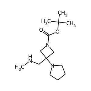 CNCC1(N2CCCC2)CN(C(=O)OC(C)(C)C)C1